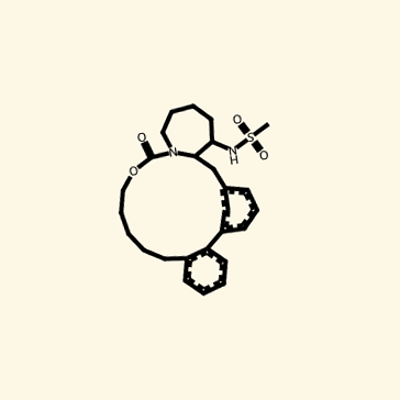 CS(=O)(=O)NC1CCCCN2C(=O)OCCCCCc3ccccc3-c3cccc(c3)CC12